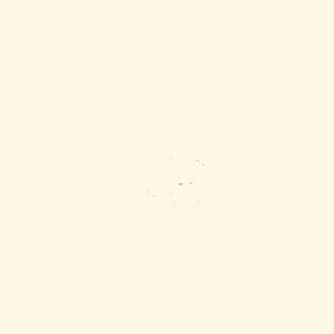 CCC(C)C(C)C(C)c1c([N+](=O)[O-])cccc1[N+](=O)[O-]